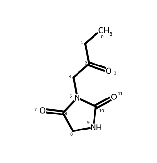 CCC(=O)CN1C(=O)CNC1=O